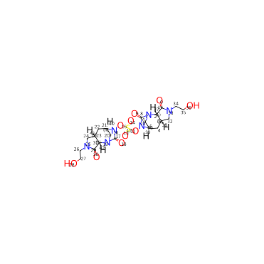 O=C1[C@@H]2[C@@H](C[C@@H]3CN2C(=O)N3OS(=O)(=O)ON2C(=O)N3C[C@H]2C[C@H]2CN(CCO)C(=O)[C@H]23)CN1CCO